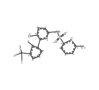 Cc1c(-c2nc(NS(=O)(=O)c3cccc(N)n3)ccc2Cl)cccc1C(F)(F)F